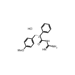 COc1ccc(C[C@@H](C(=O)NC(=N)N)c2ccccc2)cc1.Cl